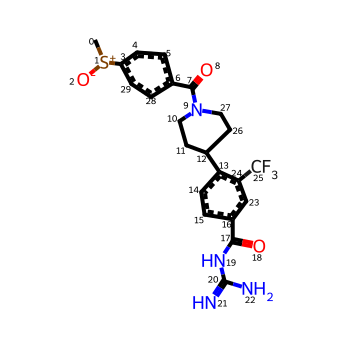 C[S+]([O-])c1ccc(C(=O)N2CCC(c3ccc(C(=O)NC(=N)N)cc3C(F)(F)F)CC2)cc1